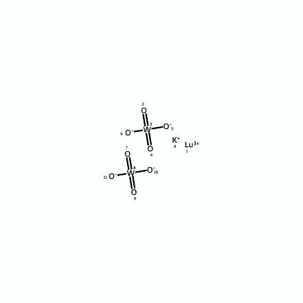 [K+].[Lu+3].[O]=[W](=[O])([O-])[O-].[O]=[W](=[O])([O-])[O-]